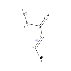 CCC/C=C/C(=O)SCC